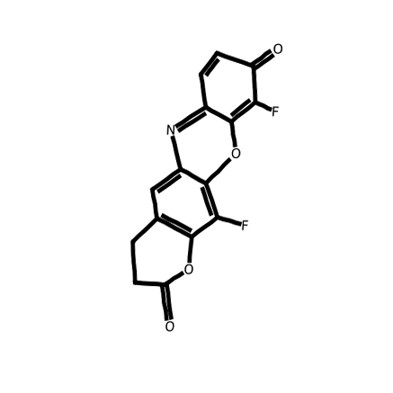 O=C1CCc2cc3nc4ccc(=O)c(F)c-4oc3c(F)c2O1